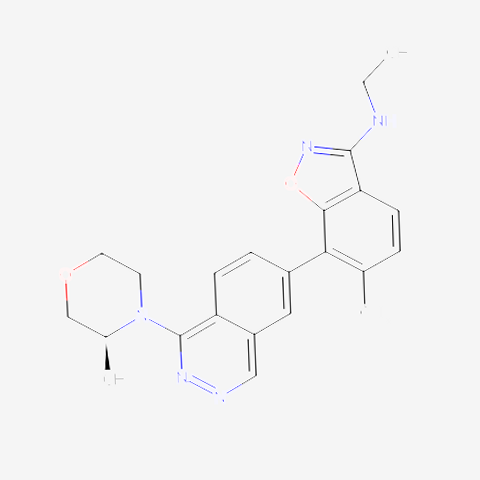 CCNc1noc2c(-c3ccc4c(N5CCOC[C@@H]5C)nncc4c3)c(C)ccc12